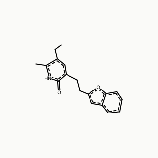 CCc1cc(CCc2cc3ccccc3o2)c(=O)[nH]c1C